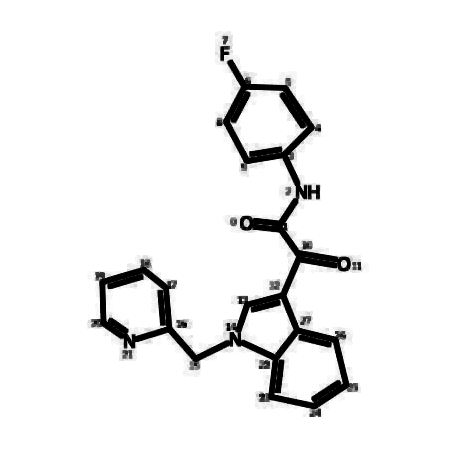 O=C(Nc1ccc(F)cc1)C(=O)c1cn(Cc2ccccn2)c2ccccc12